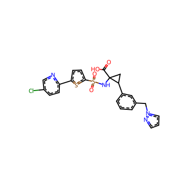 O=C(O)C1(NS(=O)(=O)c2ccc(-c3ccc(Cl)cn3)s2)CC1c1cccc(Cn2cccn2)c1